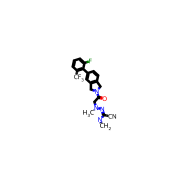 C=N/C(C#N)=N\N(C)CC(=O)N1Cc2ccc(-c3c(F)cccc3C(F)(F)F)cc2C1